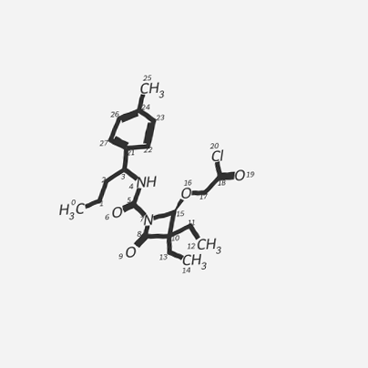 CCCC(NC(=O)N1C(=O)C(CC)(CC)[C@@H]1OCC(=O)Cl)c1ccc(C)cc1